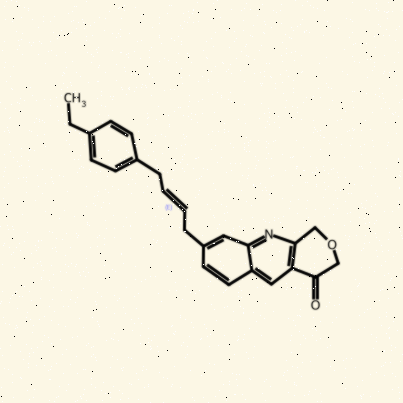 CCc1ccc(C/C=C/Cc2ccc3cc4c(nc3c2)COCC4=O)cc1